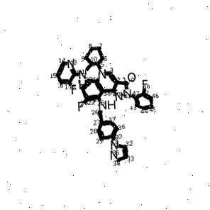 O=c1c2cn(C3CCCCC3Nc3ncccc3F)c3ccc(F)c(NCc4ccc(-n5cccn5)cc4)c3c-2nn1-c1ccccc1F